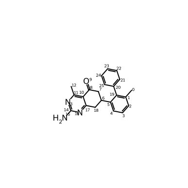 Cc1cccc(C2CC(=O)c3c(C)nc(N)nc3C2)c1-c1ccccc1